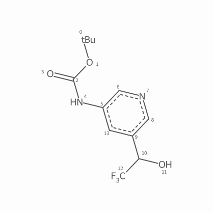 CC(C)(C)OC(=O)Nc1cncc(C(O)C(F)(F)F)c1